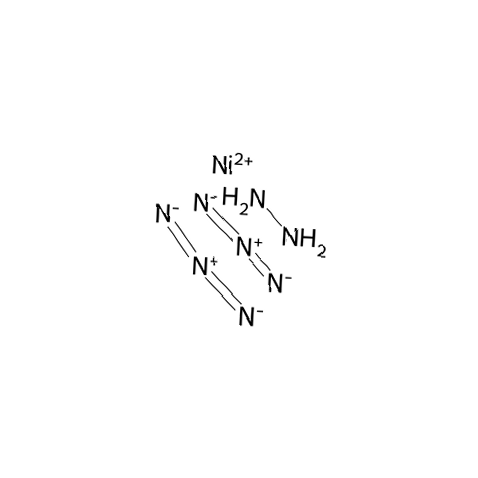 NN.[N-]=[N+]=[N-].[N-]=[N+]=[N-].[Ni+2]